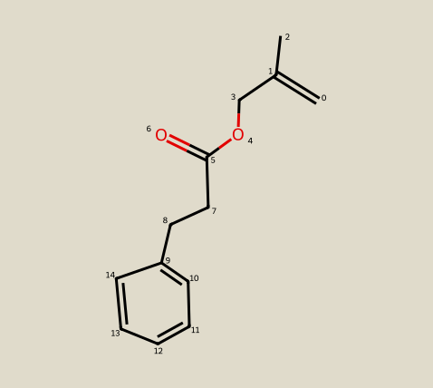 C=C(C)COC(=O)CCc1ccccc1